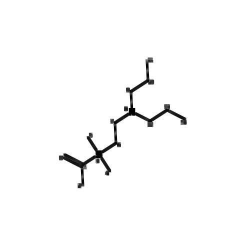 C=C(C)[Si](C)(C)CCN(CCC)CCC